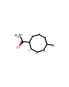 BC(=O)C1CCCC(C)CCC1